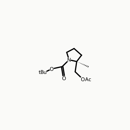 CC(=O)OC[C@]1(C)CCCN1C(=O)OC(C)(C)C